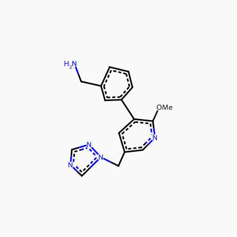 COc1ncc(Cn2cncn2)cc1-c1cccc(CN)c1